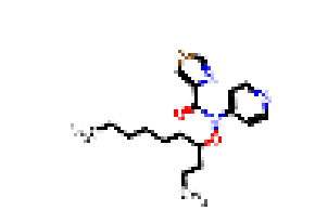 CCCCCCC(CCC)ON(C(=O)c1cscn1)c1ccncc1